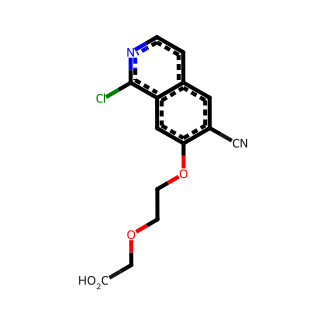 N#Cc1cc2ccnc(Cl)c2cc1OCCOCC(=O)O